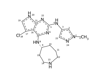 Cn1cc(Nc2nc(N[C@@H]3CCCNCC3)c3c(Cl)c[nH]c3n2)cn1